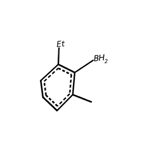 Bc1c(C)cccc1CC